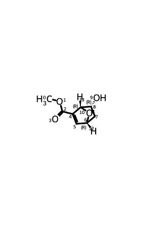 COC(=O)C1=C[C@H]2C[C@@H](O)[C@@H]1O2